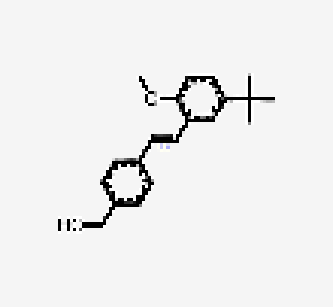 COc1ccc(C(C)(C)C)cc1/C=C/c1ccc(CO)cc1